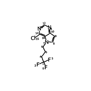 FC(F)(F)CCCn1ccc2ncnc(Cl)c21